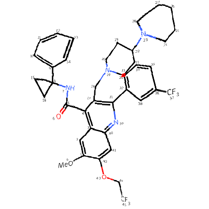 COc1cc2c(C(=O)NC3(c4ccccc4)CC3)c(CN3CCC(N4CCCCC4)CC3)c(-c3cccc(C(F)(F)F)c3)nc2cc1OCC(F)(F)F